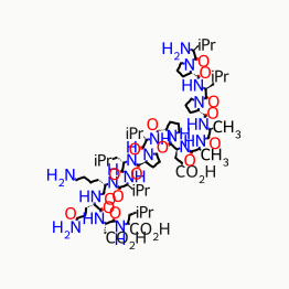 CC(C)C[C@H](NC(=O)[C@H](CC(=O)O)NC(=O)[C@H](CCC(N)=O)NC(=O)[C@H](CCCCN)NC(=O)[C@@H](NC(=O)[C@H](CC(C)C)NC(=O)[C@@H]1CCCN1C(=O)[C@@H](NC(=O)[C@@H]1CCCN1C(=O)[C@H](CCC(=O)O)NC(=O)[C@H](C)NC(=O)[C@H](C)NC(=O)[C@@H]1CCCN1C(=O)[C@H](CC(C)C)NC(=O)[C@@H]1CCCN1C(=O)[C@@H](N)C(C)C)C(C)C)C(C)C)C(=O)O